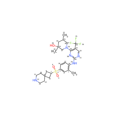 Cc1cc(S(=O)(=O)C2CC3(CCNCC3)C2)ccc1Nc1ncc(C(F)(F)F)c(N2CC(C)CC(C)(O)C2)n1